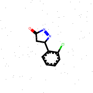 O=C1CC(c2ccccc2Cl)N=N1